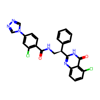 O=C(NC[C@@H](c1ccccc1)c1nc2cccc(Cl)c2c(=O)[nH]1)c1ccc(-n2cnnc2)cc1Cl